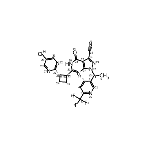 C[C@@H](c1ccc(C(F)(F)F)nc1)n1nc(C#N)c2c(=O)[nH]c([C@H]3CC[C@@H]3c3ncc(Cl)cn3)nc21